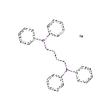 [Ru].c1ccc(P(CCCCP(c2ccccc2)c2ccccc2)c2ccccc2)cc1